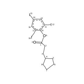 O=C(CCC1CCCC1)Oc1c(I)cc(I)cc1I